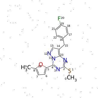 CSc1nc(-c2ccc(C)o2)n2ncc(Cc3ccc(F)cc3)c2n1